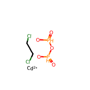 ClCCCl.O=[PH]([O-])O[PH](=O)[O-].[Cd+2]